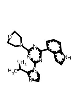 CC(C)c1nccn1-c1nc(-c2cccc3[nH]ccc23)nc(N2CCOCC2)n1